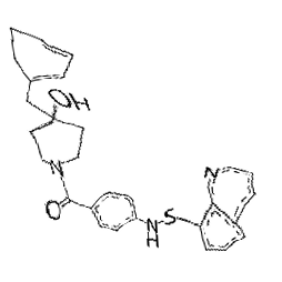 O=C(c1ccc(NSc2cccc3cccnc23)cc1)N1CCC(O)(CC2=CC=CCC2)CC1